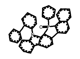 O=P1(c2ccccc2)c2c(ccc3ccccc23)-c2ccc3c4ccccc4n(-c4ccccc4-c4ccccc4)c3c21